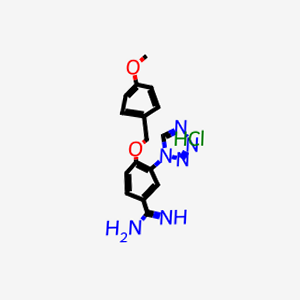 COc1ccc(COc2ccc(C(=N)N)cc2-n2cnnn2)cc1.Cl